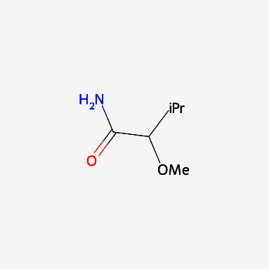 COC(C(N)=O)C(C)C